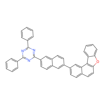 c1ccc(-c2nc(-c3ccccc3)nc(-c3ccc4cc(-c5ccc6ccc7oc8ccccc8c7c6c5)ccc4c3)n2)cc1